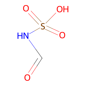 O=CNS(=O)(=O)O